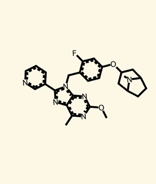 COc1nc(C)c2nc(-c3cccnc3)n(Cc3ccc(OC4CC5CCC(C4)N5C)cc3F)c2n1